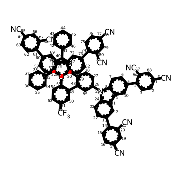 N#Cc1ccc(-c2ccc3c(c2)c2cc(-c4ccc(C#N)cc4C#N)ccc2n3-c2ccc(-c3nc(-c4ccccc4)nc(-c4ccccc4)n3)c(-c3cc(C(F)(F)F)ccc3-n3c4ccc(-c5ccc(C#N)cc5C#N)cc4c4cc(-c5ccc(C#N)cc5C#N)ccc43)c2)c(C#N)c1